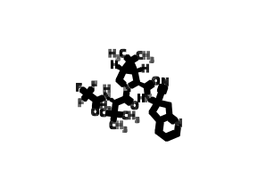 CC(C)(C)[C@H](NC(=O)C(F)(F)F)C(=O)N1C[C@H]2[C@@H]([C@H]1C(=O)NC1(C#N)Cc3cccnc3C1)C2(C)C